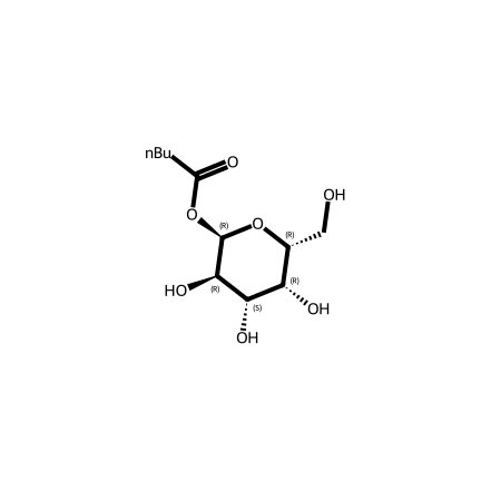 CCCCC(=O)O[C@H]1O[C@H](CO)[C@H](O)[C@H](O)[C@H]1O